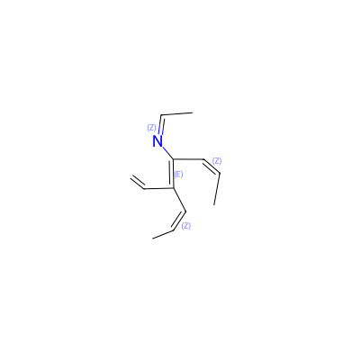 C=CC(/C=C\C)=C(/C=C\C)\N=C/C